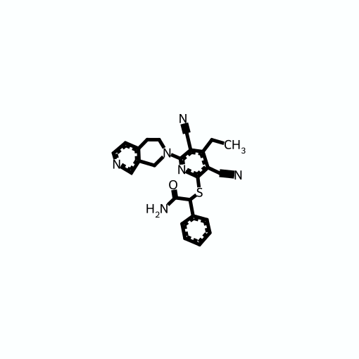 CCc1c(C#N)c(SC(C(N)=O)c2ccccc2)nc(N2CCc3ccncc3C2)c1C#N